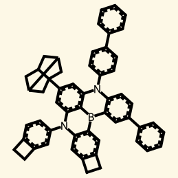 c1ccc(-c2ccc(N3c4ccc(-c5ccccc5)cc4B4c5cc6c(cc5N(c5ccc7c(c5)CC7)c5cc(C78CC9CC7CC9C8)cc3c54)CC6)cc2)cc1